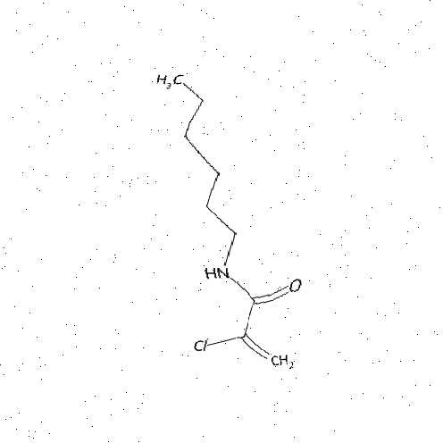 C=C(Cl)C(=O)NCCCCCC